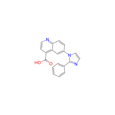 O=C(O)c1ccnc2ccc(-n3ccnc3-c3ccccc3)cc12